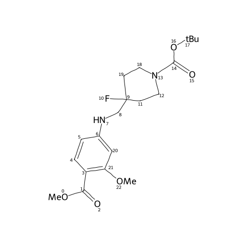 COC(=O)c1ccc(NCC2(F)CCN(C(=O)OC(C)(C)C)CC2)cc1OC